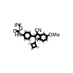 COc1ccc2c(c1)c(C#N)c(-c1ccc(NC(=O)OC(C)C)cc1)n2C1CCC1